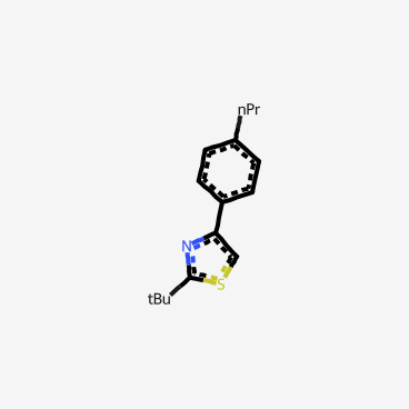 CCCc1ccc(-c2csc(C(C)(C)C)n2)cc1